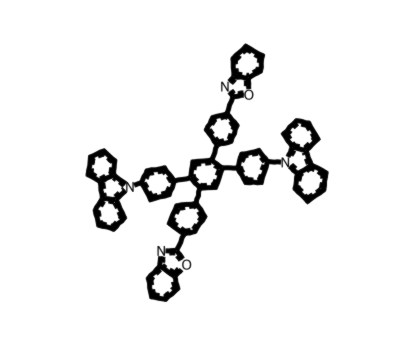 c1ccc2oc(-c3ccc(-c4cc(-c5ccc(-n6c7ccccc7c7ccccc76)cc5)c(-c5ccc(-c6nc7ccccc7o6)cc5)cc4-c4ccc(-n5c6ccccc6c6ccccc65)cc4)cc3)nc2c1